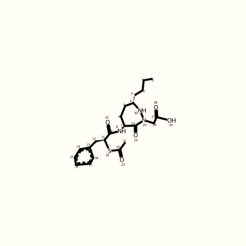 CCCC[C@H]1CC[C@H](NC(=O)[C@H](Cc2ccccc2)SC(C)=O)C(=O)N(CC(=O)O)N1